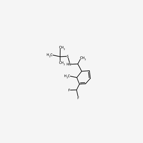 CC(NSC(C)(C)C)C1C=CC=C(C(F)F)C1C